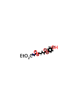 CCOC(=O)/C=C/C(=O)OCCCCC(=O)Oc1ccc(O)cc1